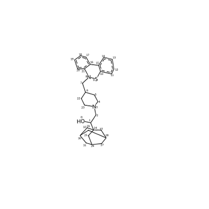 OC(CN1CCC(CN2Sc3ccccc3-c3ccccc32)CC1)C12CC3CC(CC(C3)C1)C2